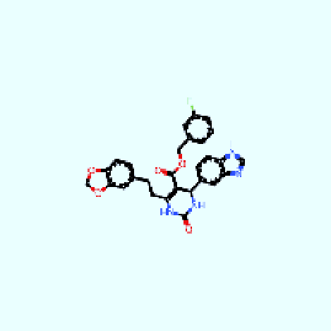 O=C1NC(CCc2ccc3c(c2)OCO3)=C(C(=O)OCc2cccc(F)c2)C(c2ccc3[nH]cnc3c2)N1